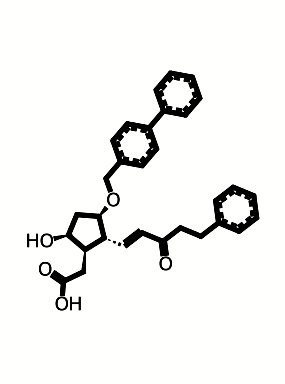 O=C(O)C[C@@H]1[C@@H](C=CC(=O)CCc2ccccc2)[C@H](OCc2ccc(-c3ccccc3)cc2)C[C@@H]1O